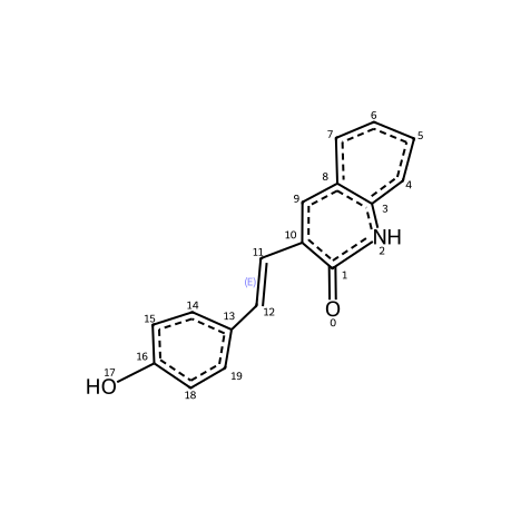 O=c1[nH]c2ccccc2cc1/C=C/c1ccc(O)cc1